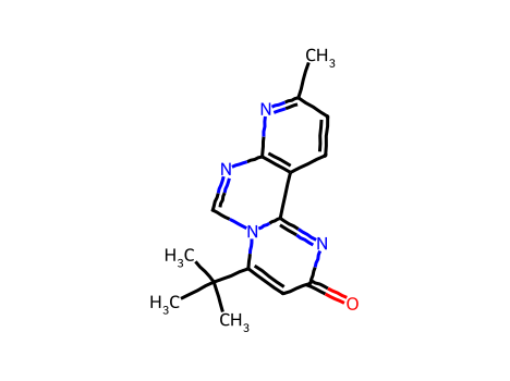 Cc1ccc2c(ncn3c(C(C)(C)C)cc(=O)nc23)n1